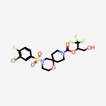 O=C(OC(CO)C(F)(F)F)N1CCC2(CC1)CN(S(=O)(=O)c1ccc(F)c(Cl)c1)CCO2